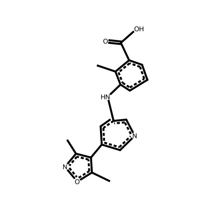 Cc1noc(C)c1-c1cncc(Nc2cccc(C(=O)O)c2C)c1